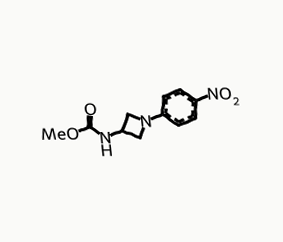 COC(=O)NC1CN(c2ccc([N+](=O)[O-])cc2)C1